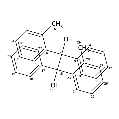 Cc1ccccc1C(O)(c1ccccc1)C(O)(c1ccccc1)c1ccccc1C